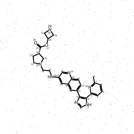 Cc1cccc(-c2[nH]cnc2-c2ccc3ncc(NCCN4CC[C@@H](C(=O)OC5CNC5)C4)cc3c2)n1